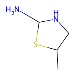 CC1CNC(N)S1